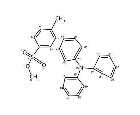 COS(=O)(=O)c1ccc(C)cc1.c1ccc(N(c2ccccc2)c2ccccc2)cc1